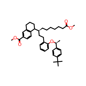 COC(=O)CCCCCC[C@@H](CCc1ccccc1O[C@@H](C)c1ccc(C(C)(C)C)cc1)C1CCCc2cc(C(=O)OC)ccc21